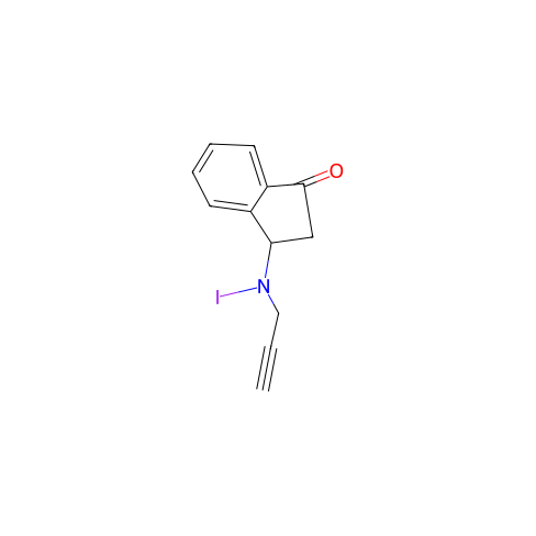 C#CCN(I)C1CC(=O)c2ccccc21